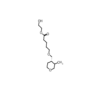 CC1COCC[C@@H]1COCCCCC(=O)OCCO